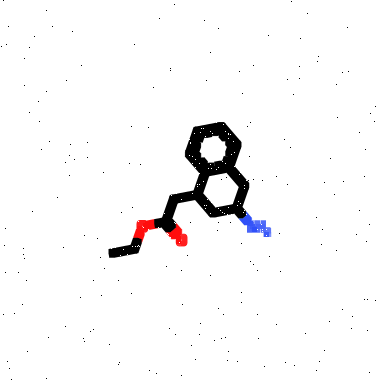 CCOC(=O)CC1CC(N)Cc2ccccc21